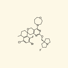 CC1CCC2(Cc3nc(OC[C@@]45CCCN4C[C@H](F)C5)nc(N4CCCOCC4)c3CO2)c2c(F)c(Br)cc(Cl)c21